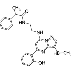 CBc1cnn2c(NCCNC(=O)C(C)c3ccccc3)cc(-c3ccccc3O)nc12